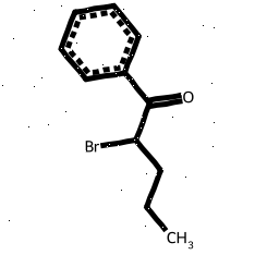 CCCC(Br)C(=O)c1ccccc1